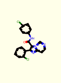 O=C(Nc1ccc(Cl)cc1)c1c(-c2ccccc2Cl)nc2ccncn12